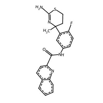 CC1(c2cc(NC(=O)c3ccc4ccccc4n3)ccc2F)CCSC(N)=N1